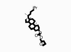 CC(C)CCC[C@@H](C)[C@H]1CCC2C3CC=C4CC(OC(=O)OCc5ccco5)CC[C@]4(C)C3CC[C@@]21C